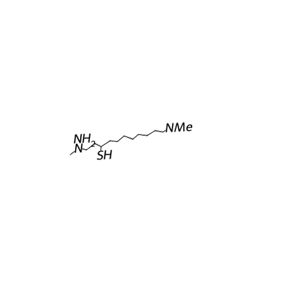 CNCCCCCCCCC(S)CCN(C)N